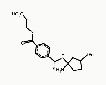 C[C@@H](NC1(N)CCC(C(C)(C)C)C1)c1ccc(C(=O)NCCC(=O)O)cc1